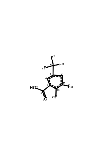 O=C(O)c1cc(C(F)(F)F)cc(F)c1F